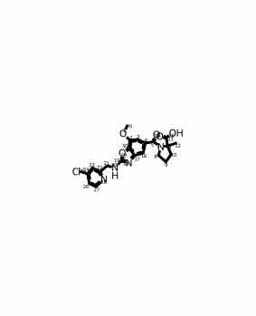 COc1cc(C(=O)N2CCCC2(C)C(=O)O)cc2nc(NCc3cc(Cl)ccn3)oc12